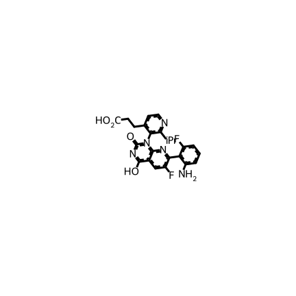 CC(C)c1nccc(CCC(=O)O)c1-n1c(=O)nc(O)c2cc(F)c(-c3c(N)cccc3F)nc21